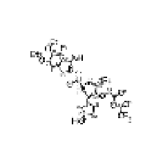 CCOc1cc2c(c(F)c1OCC)C(=N)N(CC(=O)c1cc(N3CCC(O)C3)c(OCC(=O)OC(=O)C(F)(F)F)c(C(C)(C)C)c1)C2